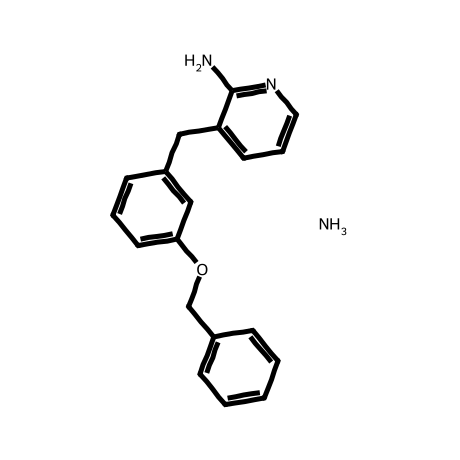 N.Nc1ncccc1Cc1cccc(OCc2ccccc2)c1